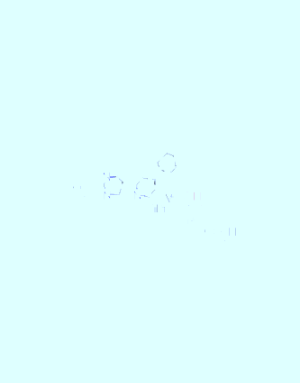 CC(C)c1nc2c(c(-c3ccc(F)cc3)c1/C=C/[C@@H](O)C[C@@H](O)CC(=O)O)CCCc1nc(C(=O)O)ncc1-2